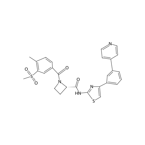 Cc1ccc(C(=O)N2CC[C@H]2C(=O)Nc2nc(-c3cccc(-c4ccncc4)c3)cs2)cc1S(C)(=O)=O